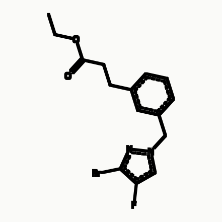 CCOC(=O)CCc1cccc(Cn2cc(F)c(Br)n2)c1